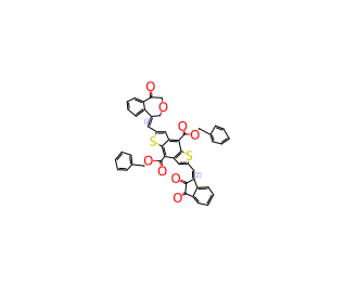 O=C1C(=O)c2ccccc2/C1=C/c1cc2c(C(=O)OCc3ccccc3)c3sc(/C=C4\COCC(=O)c5ccccc54)cc3c(C(=O)OCc3ccccc3)c2s1